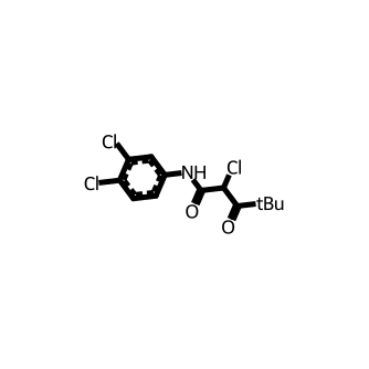 CC(C)(C)C(=O)C(Cl)C(=O)Nc1ccc(Cl)c(Cl)c1